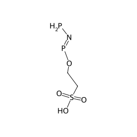 O=S(=O)(O)CCOP=NP